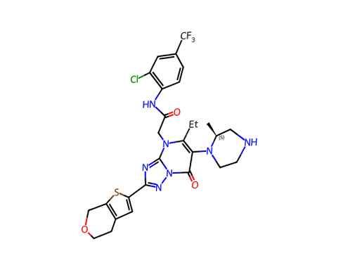 CCc1c(N2CCNC[C@@H]2C)c(=O)n2nc(-c3cc4c(s3)COCC4)nc2n1CC(=O)Nc1ccc(C(F)(F)F)cc1Cl